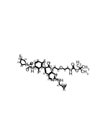 CC(C)(C)OC(=O)NCCOCCn1c(=O)c(-c2c(F)ccc(NS(=O)(=O)N3CC[C@@H](F)C3)c2F)cc2cnc(NCC3CC3)nc21